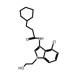 O=C(CCC1CCCCC1)Nc1cn(CCO)c2cccc(Cl)c12